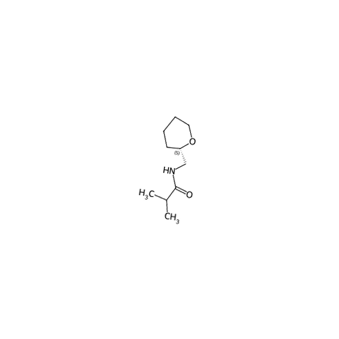 CC(C)C(=O)NC[C@@H]1CCCCO1